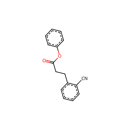 N#Cc1ccccc1CCC(=O)Oc1ccccc1